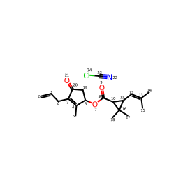 C=CCC1=C(C)C(OC(=O)C2C(C=C(C)C)C2(C)C)CC1=O.N#CCl